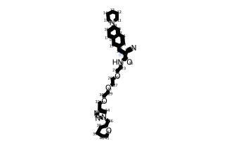 N#C/C(=C\c1ccc2cc(N3CCCCC3)ccc2c1)C(=O)NCCOCCOCCOCc1cn(CC2CCCCO2)nn1